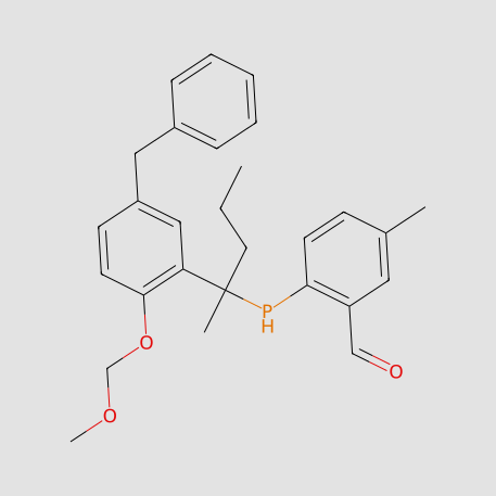 CCCC(C)(Pc1ccc(C)cc1C=O)c1cc(Cc2ccccc2)ccc1OCOC